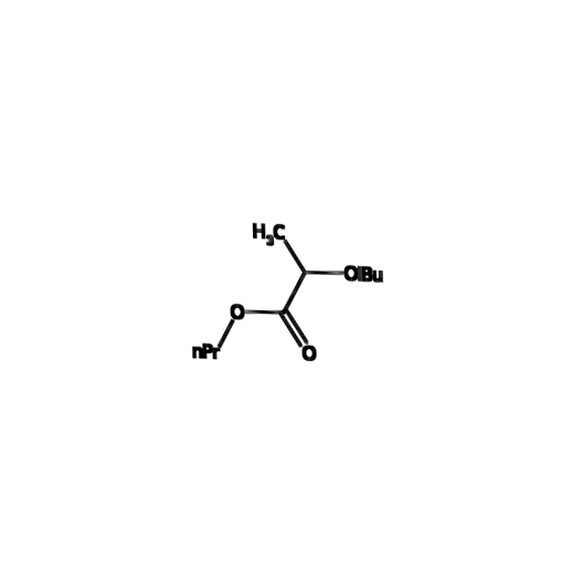 CCCOC(=O)C(C)OCC(C)C